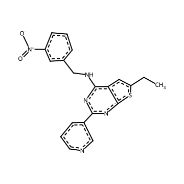 CCc1cc2c(NCc3cccc([N+](=O)[O-])c3)nc(-c3cccnc3)nc2s1